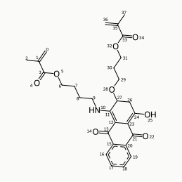 C=C(C)C(=O)OCCCCNC1=C2C(=O)c3ccccc3C(=O)C2=C(O)CC1OCCCOC(=O)C(=C)C